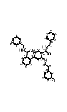 N=C(NCc1cccnc1)c1ccccc1-c1cc(NCCc2cccc(F)c2)c(C(=O)NCc2cccnc2)cn1